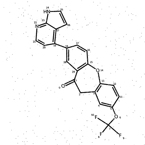 O=C1Cc2cc(OC(F)(F)F)ccc2Oc2ccc(-c3ccnc4[nH]ccc34)cc21